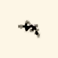 CC1(C)CC1CC(Cl)(Cl)OC=O